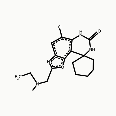 CN(Cc1nc2cc(Cl)c3c(c2o1)C1(CCCCC1)NC(=O)N3)CC(F)(F)F